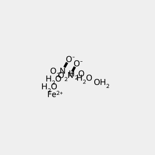 O.O.O.O.O.O=[N+]([O-])[O-].O=[N+]([O-])[O-].[Fe+2]